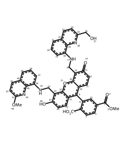 COC(=O)c1ccc(C(=O)O)c(-c2c3ccc(=O)c(CNc4cccc5ccc(CO)nc45)c-3oc3c(CNc4cccc5ccc(OC)nc45)c(O)ccc23)c1